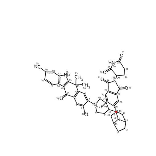 CCc1cc2c(cc1N1CCC(CN3C4CCC3CN(c3cc5c(cc3F)C(=O)N(C3CCC(=O)NC3=O)C5=O)C4)CC1)C(C)(C)c1[nH]c3cc(C#N)ccc3c1C2=O